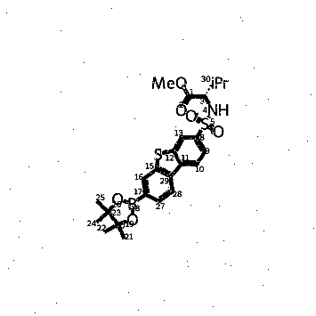 COC(=O)[C@@H](NS(=O)(=O)c1ccc2c(c1)sc1cc(B3OC(C)(C)C(C)(C)O3)ccc12)C(C)C